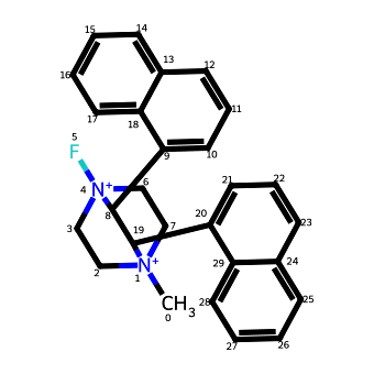 C[N+]12CC[N+](F)(CC1)C(c1cccc3ccccc13)C2c1cccc2ccccc12